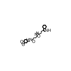 O=C(CCc1nnc(CCc2c[nH]c3ccccc23)o1)NCc1ccc2c(c1)OCO2